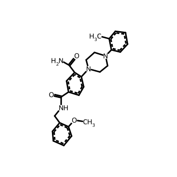 COc1ccccc1CNC(=O)c1ccc(N2CCN(c3ccccc3C)CC2)c(C(N)=O)c1